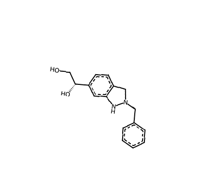 OC[C@@H](O)c1ccc2c(c1)NN(Cc1ccccc1)C2